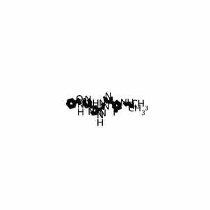 CN(C)CCNc1cc(F)cc(-c2cncc3[nH]c(-c4n[nH]c5cnc(-c6cncc(NC(=O)c7ccccc7)c6)cc45)nc23)c1